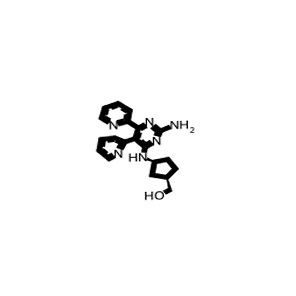 Nc1nc(N[C@H]2CC[C@@H](CO)C2)c(-c2ccccn2)c(-c2ccccn2)n1